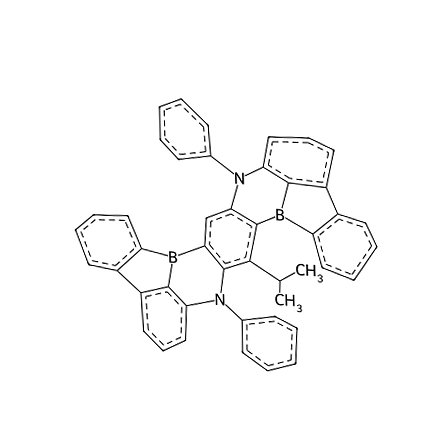 CC(C)c1c2c(cc3c1N(c1ccccc1)c1cccc4c1B3c1ccccc1-4)N(c1ccccc1)c1cccc3c1B2c1ccccc1-3